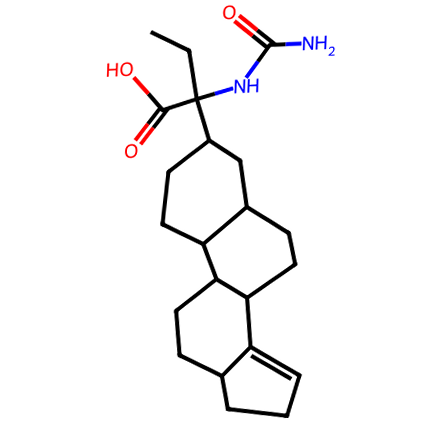 CCC(NC(N)=O)(C(=O)O)C1CCC2C(CCC3C4=CCCC4CCC32)C1